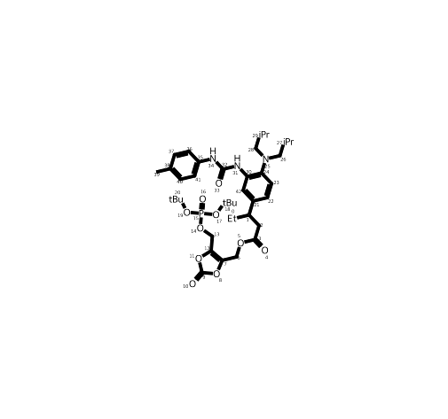 CCC(CC(=O)OCc1oc(=O)oc1COP(=O)(OC(C)(C)C)OC(C)(C)C)c1ccc(N(CC(C)C)CC(C)C)c(NC(=O)Nc2ccc(C)cc2)c1